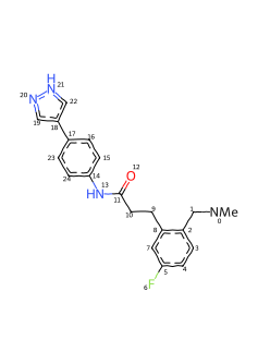 CNCc1ccc(F)cc1CCC(=O)Nc1ccc(-c2cn[nH]c2)cc1